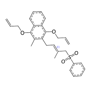 C=CCOc1c(C)c(C/C=C(\C)CS(=O)(=O)c2ccccc2)c(OCC=C)c2ccccc12